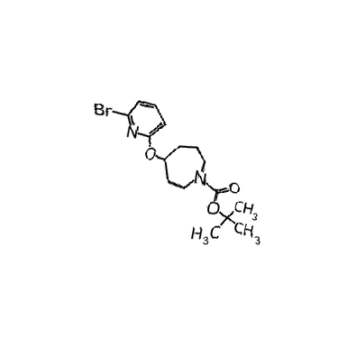 CC(C)(C)OC(=O)N1CCCC(Oc2cccc(Br)n2)CC1